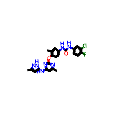 Cc1cc(Nc2cc(C)nc(Oc3ccc(NC(=O)Nc4ccc(F)c(Cl)c4)cc3C)n2)[nH]n1